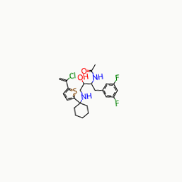 C=C(Cl)c1ccc(C2(NCC(O)C(Cc3cc(F)cc(F)c3)NC(C)=O)CCCCC2)s1